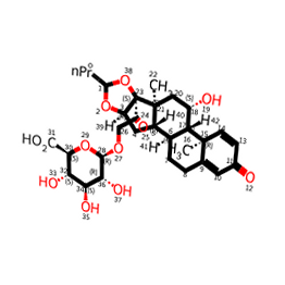 CCCC1O[C@@H]2C[C@H]3[C@@H]4CCC5=CC(=O)C=C[C@]5(C)[C@H]4[C@@H](O)C[C@]3(C)[C@]2(C(=O)CO[C@@H]2O[C@H](C(=O)O)[C@@H](O)[C@H](O)[C@H]2O)O1